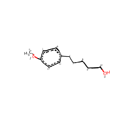 COc1ccc(CCCCCO)cc1